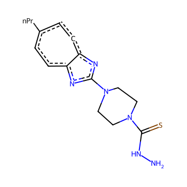 CCCc1ccc2nc(N3CCN(C(=S)NN)CC3)nc-2cc1